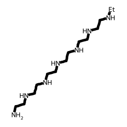 CCNCCNCCNCCNCCNCCNCCN